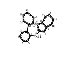 c1ccc2c(c1)Nc1cc3ccccc3n1-c1ccccc1-2